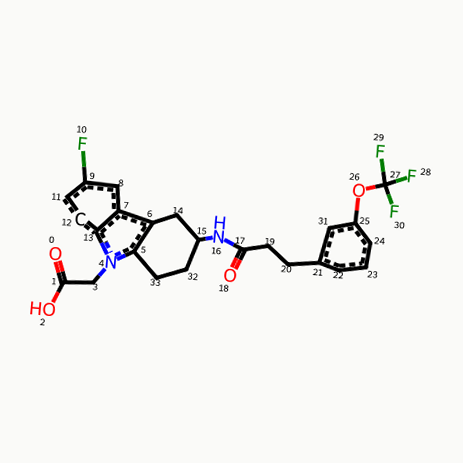 O=C(O)Cn1c2c(c3cc(F)ccc31)CC(NC(=O)CCc1cccc(OC(F)(F)F)c1)CC2